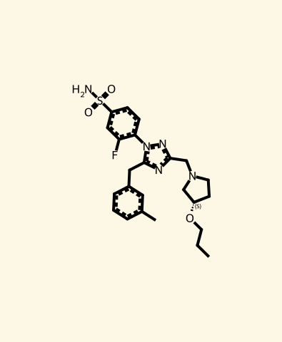 CCCO[C@H]1CCN(Cc2nc(Cc3cccc(C)c3)n(-c3ccc(S(N)(=O)=O)cc3F)n2)C1